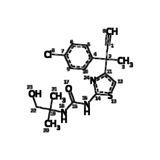 C#CC(C)(c1ccc(Cl)cc1)c1csc(NC(=O)NC(C)(C)CO)n1